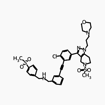 CS(=O)(=O)c1ccc(CNCc2cccc(C#Cc3cc(-c4nn(CCCN5CCOCC5)c5c4CN(S(C)(=O)=O)CC5)ccc3Cl)c2)cc1